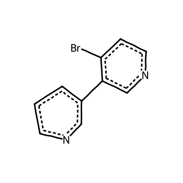 Brc1ccncc1-c1cccnc1